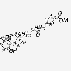 COC(=O)c1ccc(CNC(=O)CCCC2CCC3C4C(CCC23C)C2(C)CCCCC2C[C@@H]4O)o1